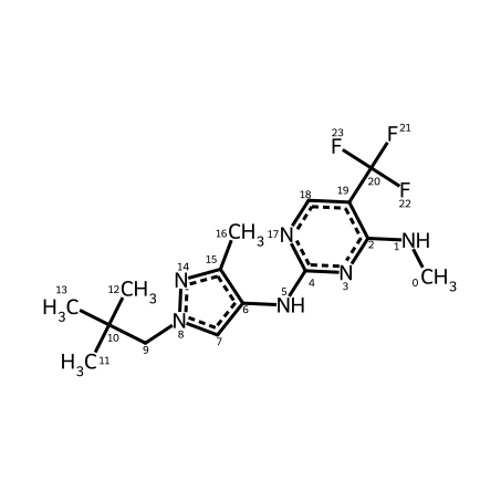 CNc1nc(Nc2cn(CC(C)(C)C)nc2C)ncc1C(F)(F)F